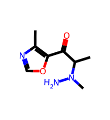 Cc1ncoc1C(=O)C(C)N(C)N